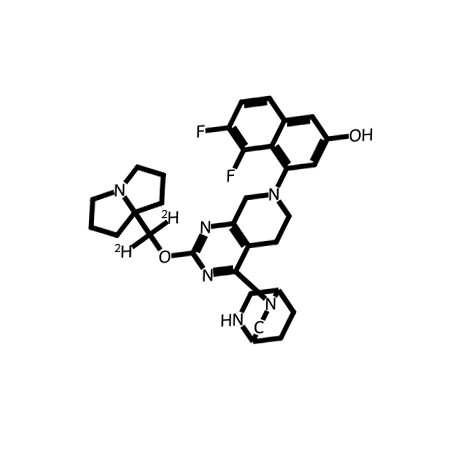 [2H]C([2H])(Oc1nc2c(c(N3CC4CCC3CN4)n1)CCN(c1cc(O)cc3ccc(F)c(F)c13)C2)C12CCCN1CCC2